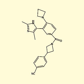 Cc1nc(C)c(-c2cc(C(=O)N3CC(c4ccc(C#N)cc4)C3)ccc2N2CCC2)[nH]1